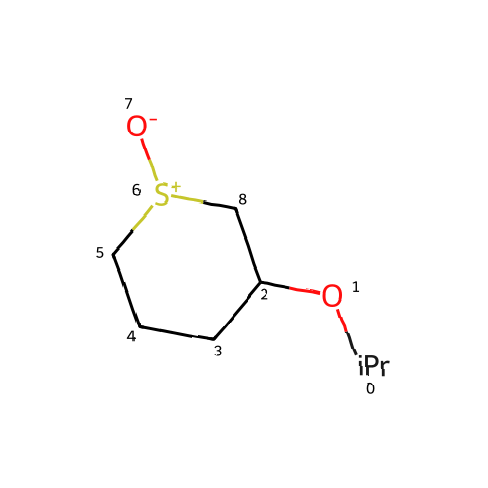 CC(C)OC1CCC[S+]([O-])C1